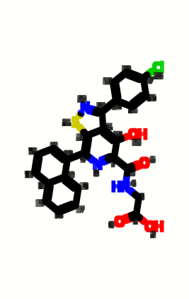 O=C(O)CNC(=O)c1nc(-c2cccc3ccccc23)c2snc(-c3ccc(Cl)cc3)c2c1O